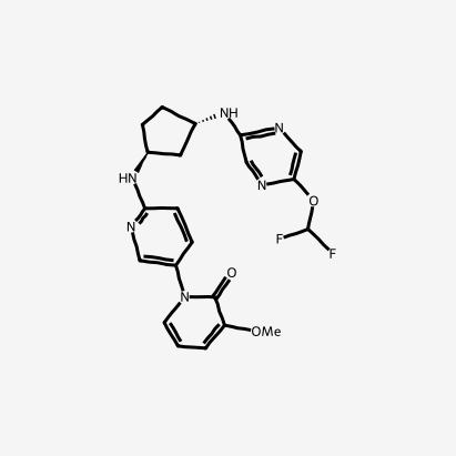 COc1cccn(-c2ccc(N[C@H]3CC[C@H](Nc4cnc(OC(F)F)cn4)C3)nc2)c1=O